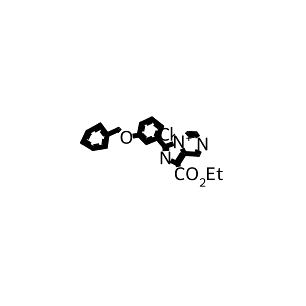 CCOC(=O)C1=C2C=NC=C[N+]2(Cl)C(c2cccc(OCc3ccccc3)c2)=N1